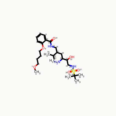 COCCCCOc1ccccc1C(=O)NCC(CC(N)C(O)CNS(=O)(=O)C(C)(C)C)C(C)C